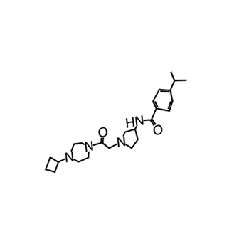 CC(C)c1ccc(C(=O)NC2CCN(CC(=O)N3CCN(C4CCC4)CC3)C2)cc1